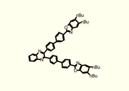 CCCCc1cc2nc(-c3ccc(-c4ccc(-c5nc6ccccc6nc5-c5ccc(-c6ccc(-c7nc8cc(CCCC)c(CCCC)cc8o7)cc6)cc5)cc4)cc3)oc2cc1CCCC